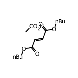 CC(=O)O.CCCCOC(=O)/C=C/C(=O)OCCCC